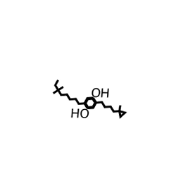 CCC(C)(C)CCCCCc1cc(O)c(CCCCC2(C)CC2)cc1O